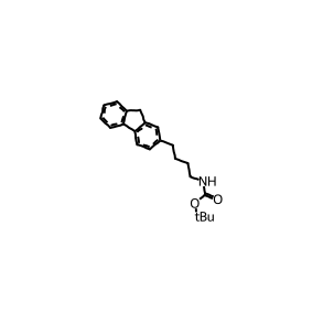 CC(C)(C)OC(=O)NCCCCc1ccc2c(c1)Cc1ccccc1-2